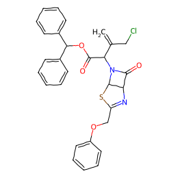 C=C(CCl)C(C(=O)OC(c1ccccc1)c1ccccc1)N1C(=O)C2N=C(COc3ccccc3)SC21